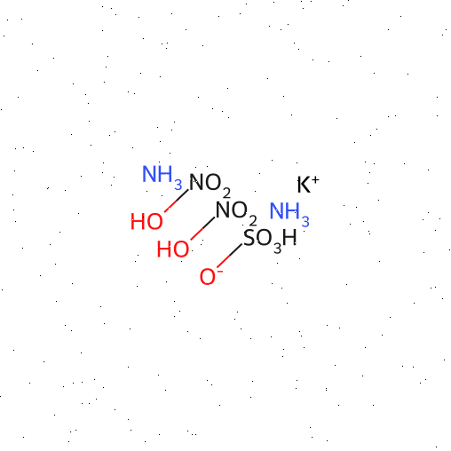 N.N.O=S(=O)([O-])O.O=[N+]([O-])O.O=[N+]([O-])O.[K+]